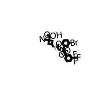 N#CC1(C(=O)O)CC(C[C@H]2CN(S(=O)(=O)c3cccc(C(F)(F)F)c3)c3cc(Br)ccc3O2)C1